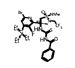 CC[Si](CC)(CC)c1cc(Br)nc([C@](C)(CS(=O)(=NCC(F)(F)F)NC)NC(=S)NC(=O)c2ccccc2)c1F